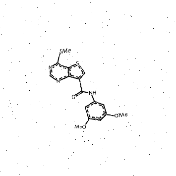 COc1cc(NC(=O)c2csc3c(SC)ncnc23)cc(OC)c1